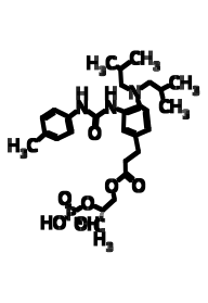 Cc1ccc(NC(=O)Nc2cc(CCC(=O)OC[C@H](C)OP(=O)(O)O)ccc2N(CC(C)C)CC(C)C)cc1